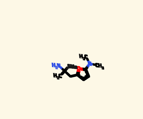 CSC(C)(N)Cc1ccc(N(C)C)o1